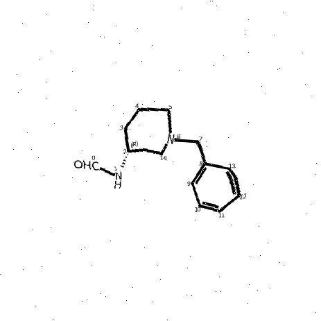 O=CN[C@@H]1CCCN(Cc2ccccc2)C1